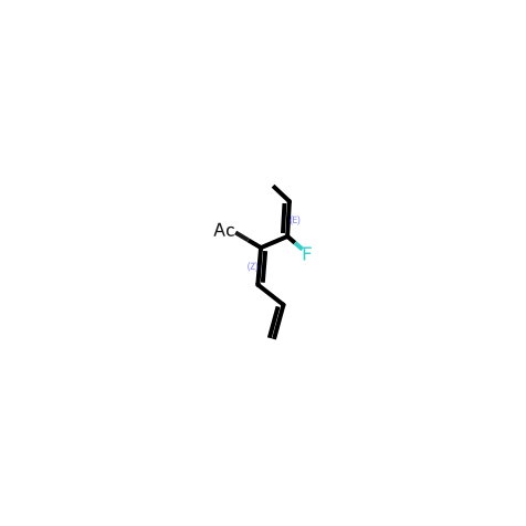 C=C/C=C(C(C)=O)\C(F)=C/C